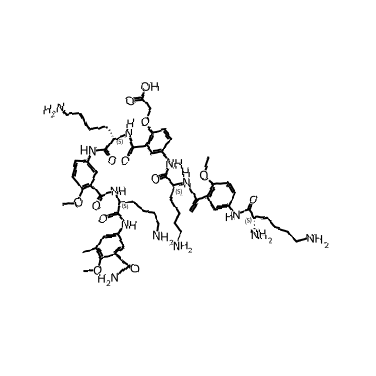 C=C(N[C@@H](CCCCN)C(=O)Nc1ccc(OCC(=O)O)c(C(=O)N[C@@H](CCCCN)C(=O)Nc2ccc(OC)c(C(=O)N[C@@H](CCCCN)C(=O)Nc3cc(C)c(OC)c(C(N)=O)c3)c2)c1)c1cc(NC(=O)[C@@H](N)CCCCN)ccc1OC